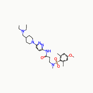 CCN(CC)CC1CCN(c2ccc(NC(=O)CCN(C)S(=O)(=O)c3c(C)cc(OC)cc3C)nn2)CC1